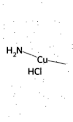 Cl.[CH3][Cu][NH2]